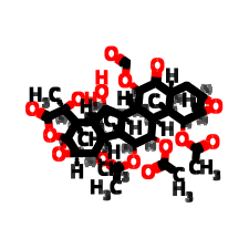 CC(=O)O[C@H]1[C@H]2[C@H]([C@@H]3[C@@H](O)[C@@H]4[C@H]([C@H](C)[C@H]5O[C@]56OC(=O)[C@@](C)(O)[C@]46C)[C@@]3(C)[C@H]1OC(C)=O)[C@@H](OC=O)C(=O)[C@H]1C[C@@H]3O[C@@H]3[C@H](OC(C)=O)[C@]21C